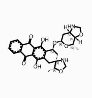 C[C@@H]1O[C@@H](O[C@H]2C[C@]3(Cc4c(O)c5c(c(O)c42)C(=O)c2ccccc2C5=O)NCO[C@@H]3C)C[C@@H]2NCO[C@@H]21